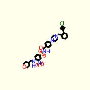 O=C(NS(=O)(=O)c1ccc(NCC2CCOCC2)c([N+](=O)[O-])c1)c1ccc(N2CCN(CC3=C(C45CC(Cl)(C4)C5)CCCC3)CC2)cc1